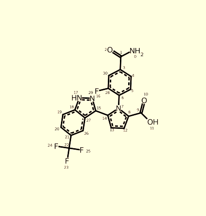 NC(=O)c1ccc(-n2c(C(=O)O)ccc2-c2n[nH]c3ccc(C(F)(F)F)cc23)c(F)c1